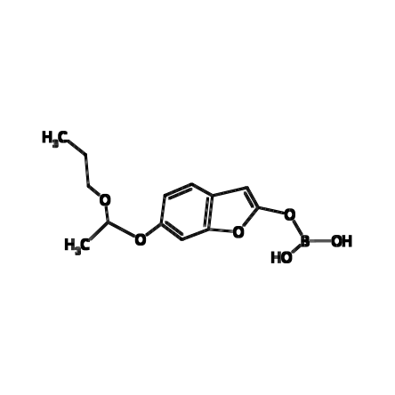 CCCOC(C)Oc1ccc2cc(OB(O)O)oc2c1